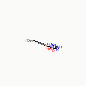 CCCCCCCCCCCCCCCCCCSCCC(O)n1c(N)nc2[nH]cnc2c1=O